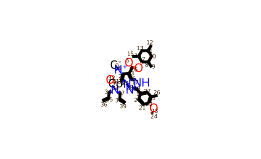 [C-]#[N+]c1c(C(=O)OC2C(C)CC(C)CC2C)c2[nH]c(-c3ccc(OC)c(C)c3)nn2[c]1[Co](=[O])[N](CC=C)CC=C